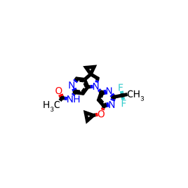 CC(=O)Nc1cc2c(cn1)C1(CC1)CN2c1cc(OC2CC2)nc(C(C)(F)F)n1